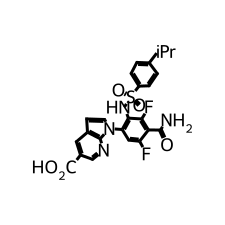 CC(C)c1ccc(S(=O)(=O)Nc2c(-n3ccc4cc(C(=O)O)cnc43)cc(F)c(C(N)=O)c2F)cc1